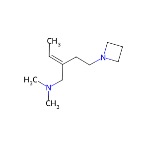 C/C=C(\CCN1CCC1)CN(C)C